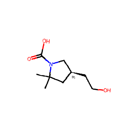 CC1(C)C[C@H](CCO)CN1C(=O)O